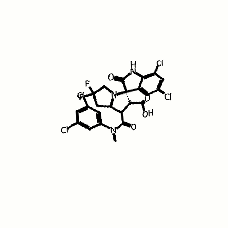 CN(C(=O)C1C2CC(F)(F)CN2[C@]2(C(=O)Nc3c(Cl)cc(Cl)cc32)C1C(=O)O)c1cc(Cl)cc(Cl)c1